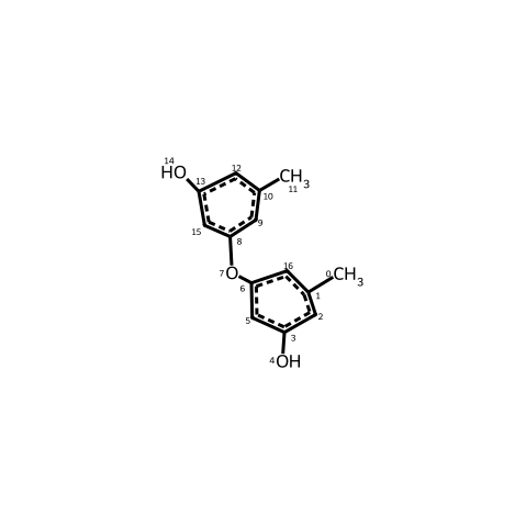 Cc1cc(O)cc(Oc2cc(C)cc(O)c2)c1